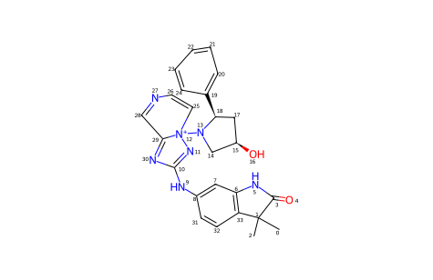 CC1(C)C(=O)Nc2cc(NC3=N[N+]4(N5C[C@H](O)C[C@@H]5c5ccccc5)C=CN=CC4=N3)ccc21